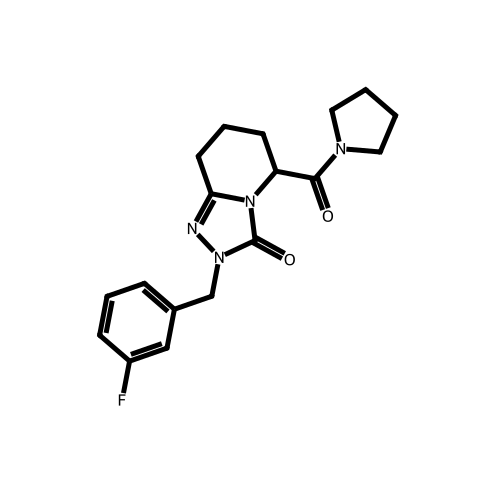 O=C(C1CCCc2nn(Cc3cccc(F)c3)c(=O)n21)N1CCCC1